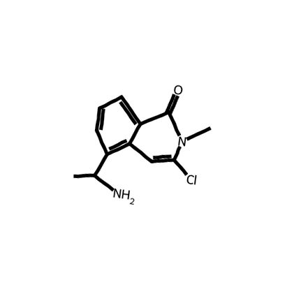 CC(N)c1cccc2c(=O)n(C)c(Cl)cc12